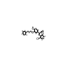 COc1ncc(C(C#N)=Cc2c(Cl)cncc2Cl)cc1OCCCc1cccnc1